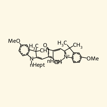 CCCCCCCN1/C(=C/C2=C(O)C(=C\C3=[N+](CCCCCCC)c4ccc(OC)cc4C3(C)C)/C2=O)C(C)(C)c2cc(OC)ccc21